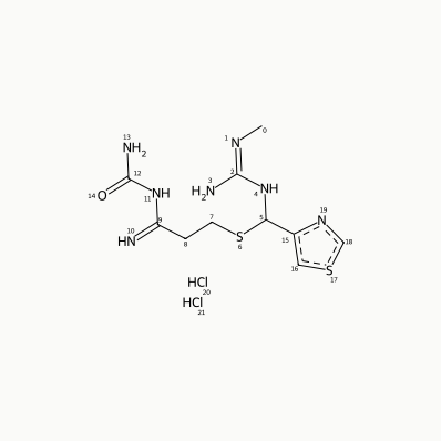 C/N=C(/N)NC(SCCC(=N)NC(N)=O)c1cscn1.Cl.Cl